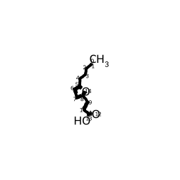 CCCCCc1ccc(/C=C/C(=O)O)o1